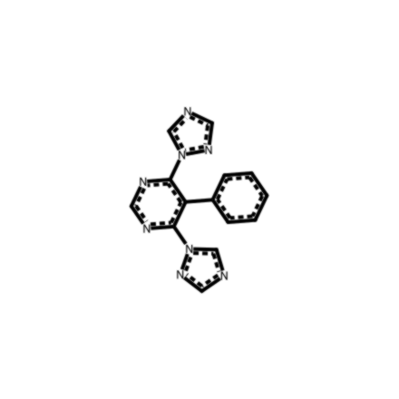 c1ccc(-c2c(-n3cncn3)ncnc2-n2cncn2)cc1